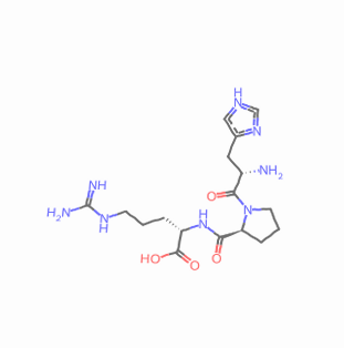 N=C(N)NCCC[C@H](NC(=O)[C@@H]1CCCN1C(=O)[C@@H](N)Cc1c[nH]cn1)C(=O)O